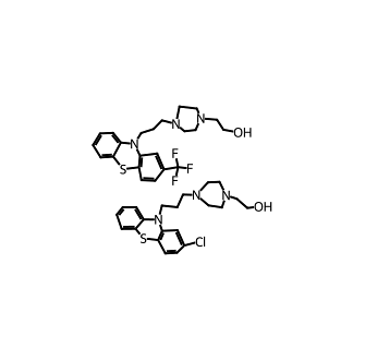 OCCN1CCN(CCCN2c3ccccc3Sc3ccc(C(F)(F)F)cc32)CC1.OCCN1CCN(CCCN2c3ccccc3Sc3ccc(Cl)cc32)CC1